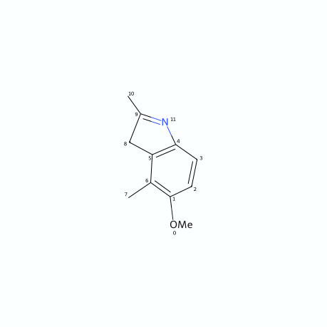 COc1ccc2c(c1C)CC(C)=N2